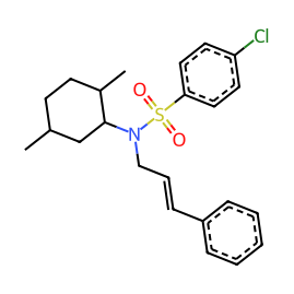 CC1CCC(C)C(N(CC=Cc2ccccc2)S(=O)(=O)c2ccc(Cl)cc2)C1